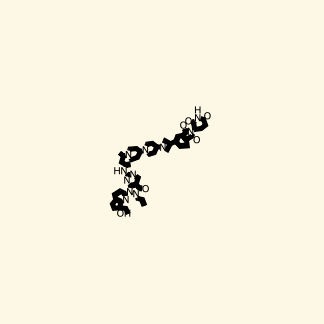 C=CCn1c(=O)c2cnc(NC(=C)CC(C)N3CCC(N4CCC(N5CC(c6ccc7c(c6)C(=O)N(C6CCC(=O)NC6=O)C7=O)C5)CC4)CC3)nc2n1-c1ccc2c(n1)C(O)(CC)CC2